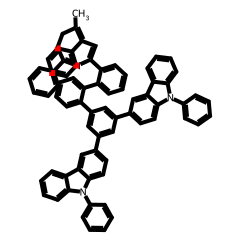 C\C1=C(c2ccccc2)/C=C(c2ccccc2-c2ccccc2-c2cc(-c3ccc4c(c3)c3ccccc3n4-c3ccccc3)cc(-c3ccc4c(c3)c3ccccc3n4-c3ccccc3)c2)\N=C(\c2ccccc2)CC1